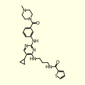 CN1CCN(C(=O)c2cccc(Nc3ncc(C4CC4)c(NCCCNC(=O)c4cccs4)n3)c2)CC1